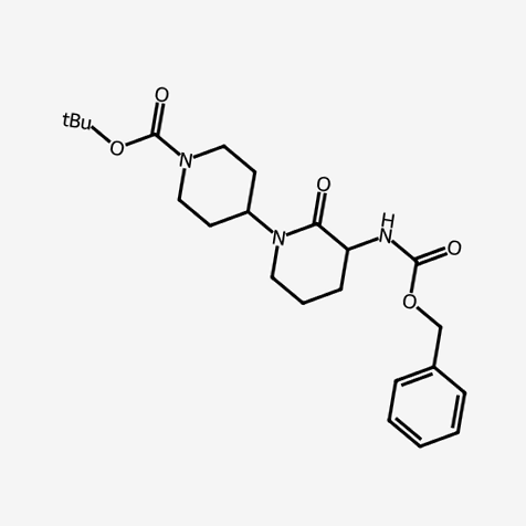 CC(C)(C)OC(=O)N1CCC(N2CCCC(NC(=O)OCc3ccccc3)C2=O)CC1